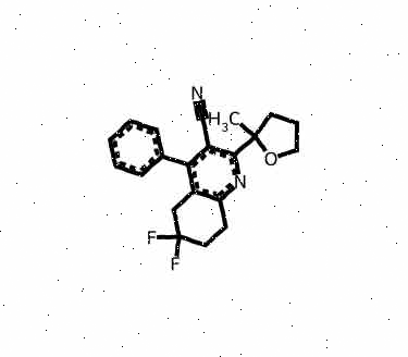 CC1(c2nc3c(c(-c4ccccc4)c2C#N)CC(F)(F)CC3)CCCO1